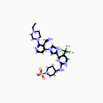 CCN1CCN(c2nccc(-n3cnc(-c4nc(NC5CCN(S(C)(=O)=O)CC5)ncc4C(F)(F)F)c3)c2C#N)CC1